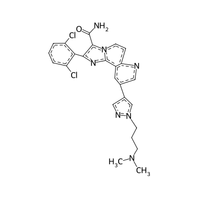 CN(C)CCCn1cc(-c2cnc3ccn4c(C(N)=O)c(-c5c(Cl)cccc5Cl)nc4c3c2)cn1